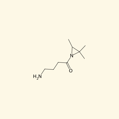 CC1N(C(=O)CCCN)C1(C)C